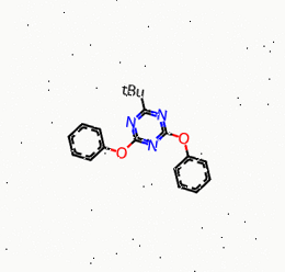 CC(C)(C)c1nc(Oc2ccccc2)nc(Oc2ccccc2)n1